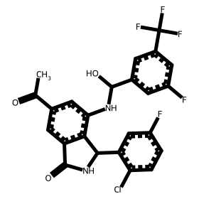 CC(=O)c1cc(NC(O)c2cc(F)cc(C(F)(F)F)c2)c2c(c1)C(=O)NC2c1cc(F)ccc1Cl